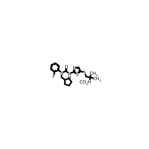 CC(C)(CSc1cnc(NC(=O)N(CC2CCCC2)c2ccccc2F)s1)C(=O)O